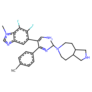 CC(/N=C(\C(=C/N)c1cc2ncn(C)c2c(F)c1F)c1ccc(C#N)cc1)N1CCC2CNCC2CC1